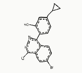 Oc1cc(C2CC2)ccc1-c1nnc(Cl)c2cc(Br)ccc12